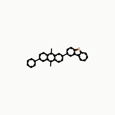 Cc1c2ccc(-c3ccc4sc5ccccc5c4c3)cc2c(C)c2ccc(-c3ccccc3)cc12